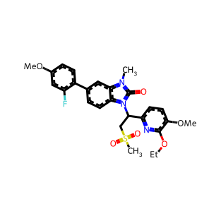 CCOc1nc(C(CS(C)(=O)=O)n2c(=O)n(C)c3cc(-c4ccc(OC)cc4F)ccc32)ccc1OC